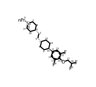 CCC[Si@H]1CC[C@H](CC[C@H]2CC[C@H](c3cc(F)c(OCC(F)F)c(F)c3)CC2)CC1